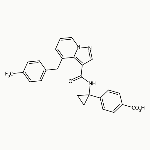 O=C(O)c1ccc(C2(NC(=O)c3cnn4cccc(Cc5ccc(C(F)(F)F)cc5)c34)CC2)cc1